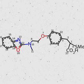 CSC(Cc1ccc(OCCN(C)c2nc3ccccc3o2)cc1)C(=O)O